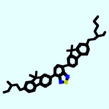 CCCCC(CC)CCc1ccc2c(c1)C(C)(C)c1cc(-c3ccc(-c4ccc5c(c4)C(C)(C)c4cc(CCC(C)CC)ccc4-5)c4nsnc34)ccc1-2